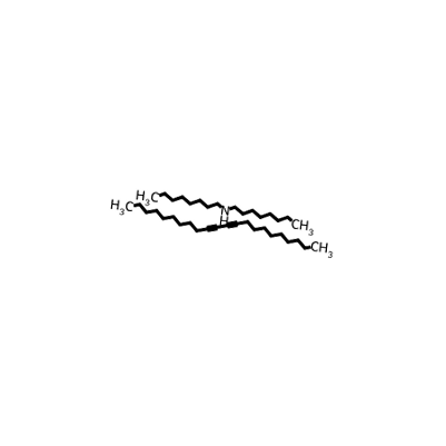 CCCCCCCCCC#CC#CCCCCCCCCC.CCCCCCCCNCCCCCCCC